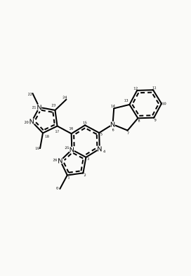 Cc1cc2nc(N3Cc4ccccc4C3)cc(-c3c(C)nn(C)c3C)n2n1